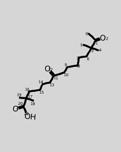 CC(=O)C(C)(C)CCCCCC(=O)CCCCC(C)(C)C(=O)O